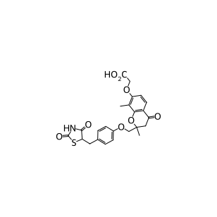 Cc1c(OCC(=O)O)ccc2c1OC(C)(COc1ccc(CC3SC(=O)NC3=O)cc1)CC2=O